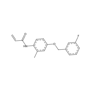 C=CC(=O)Nc1ccc(OCc2cccc(F)c2)cc1C